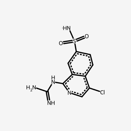 [NH]S(=O)(=O)c1ccc2c(Cl)cnc(NC(=N)N)c2c1